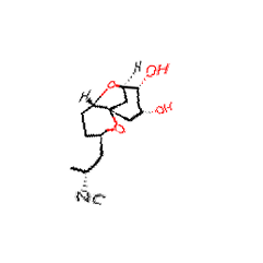 [C-]#[N+][C@H](C)C[C@H]1CC[C@@H]2O[C@@H]3C[C@]2(C[C@@H](O)[C@H]3O)O1